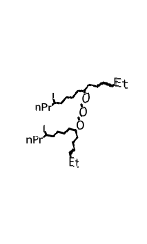 CCC=CCCC(CCCCC(I)CCC)OCOCOC(CCC=CCC)CCCCC(I)CCC